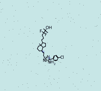 CC12CCC/C(=C\CN(N)/N=C(\N)c3ccc(Cl)cc3)C1CCC2CCCC(F)(F)C(C)(C)O